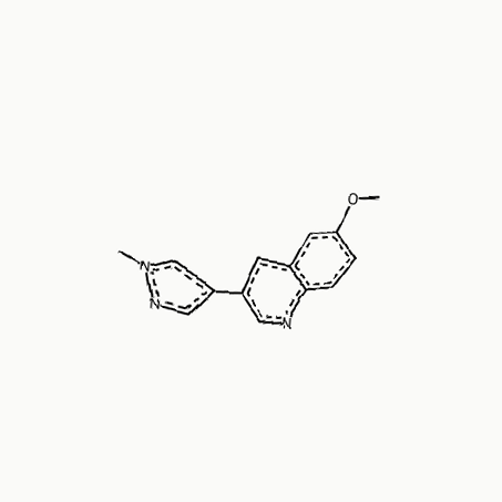 COc1ccc2ncc(-c3cnn(C)c3)cc2c1